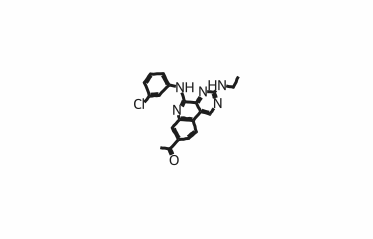 CCNc1ncc2c(n1)c(Nc1cccc(Cl)c1)nc1cc(C(C)=O)ccc12